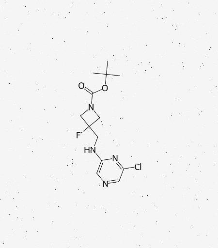 CC(C)(C)OC(=O)N1CC(F)(CNc2cncc(Cl)n2)C1